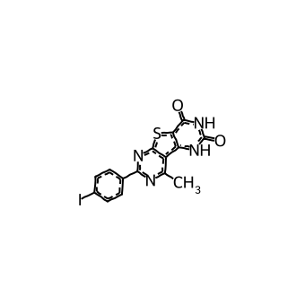 Cc1nc(-c2ccc(I)cc2)nc2sc3c(=O)[nH]c(=O)[nH]c3c12